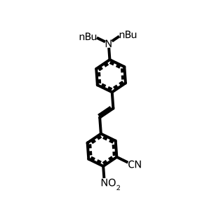 CCCCN(CCCC)c1ccc(C=Cc2ccc([N+](=O)[O-])c(C#N)c2)cc1